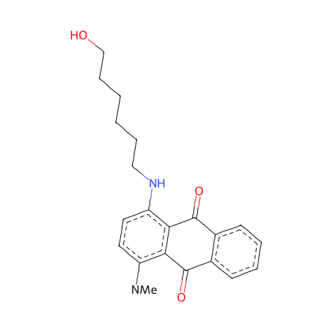 CNc1ccc(NCCCCCCO)c2c1C(=O)c1ccccc1C2=O